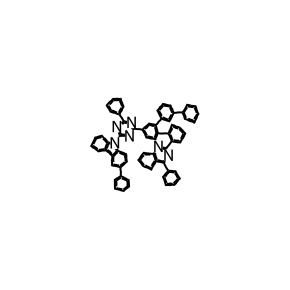 c1ccc(-c2cccc(-c3cc(-c4nc(-c5ccccc5)nc(-n5c6ccccc6c6cc(-c7ccccc7)ccc65)n4)ccc3-c3ccccc3-c3nc(-c4ccccc4)c4ccccc4n3)c2)cc1